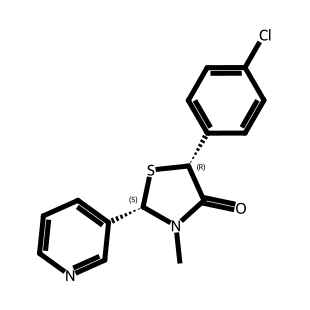 CN1C(=O)[C@@H](c2ccc(Cl)cc2)S[C@H]1c1cccnc1